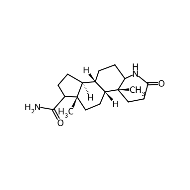 C[C@]12CCC(=O)NC1CC[C@@H]1[C@H]2CC[C@]2(C)C(C(N)=O)CC[C@@H]12